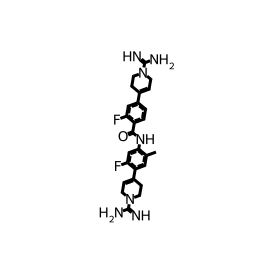 Cc1cc(C2=CCN(C(=N)N)CC2)c(F)cc1NC(=O)c1ccc(C2=CCN(C(=N)N)CC2)cc1F